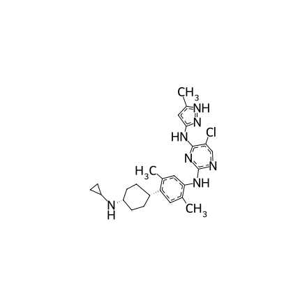 Cc1cc(Nc2nc(Nc3cc(C)c([C@H]4CC[C@@H](NC5CC5)CC4)cc3C)ncc2Cl)n[nH]1